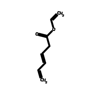 C=CC=CCC(=O)OC=C